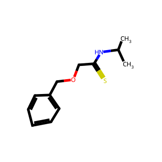 CC(C)NC(=S)COCc1ccccc1